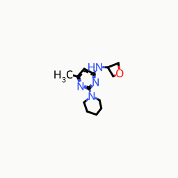 Cc1cc(NC2COC2)nc(N2CCCCC2)n1